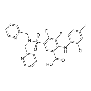 O=C(O)c1cc(S(=O)(=O)N(Cc2ccccn2)Cc2ccccn2)c(F)c(F)c1Nc1ccc(I)cc1Cl